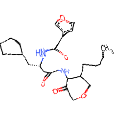 CCCC1COCC(=O)C1NC(=O)[C@H](CC1CCCC1)NC(=O)c1ccoc1